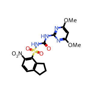 COc1cc(OC)nc(NC(=O)NS(=O)(=O)c2c([N+](=O)[O-])ccc3c2CCC3)n1